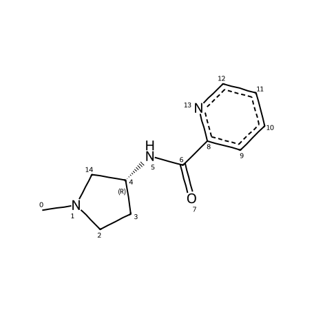 CN1CC[C@@H](NC(=O)c2ccccn2)C1